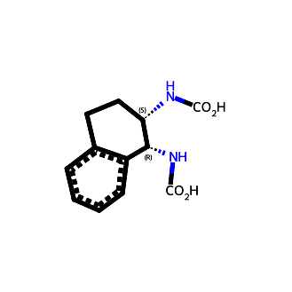 O=C(O)N[C@H]1CCc2ccccc2[C@H]1NC(=O)O